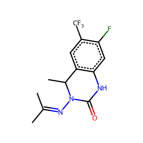 CC(C)=NN1C(=O)Nc2cc(F)c(C(F)(F)F)cc2C1C